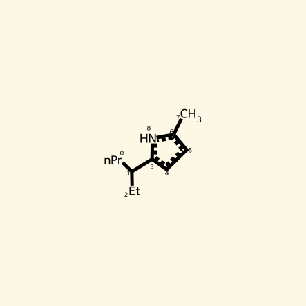 CCCC(CC)c1ccc(C)[nH]1